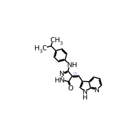 CC(C)c1ccc(NC2=NNC(=O)/C2=C\c2c[nH]c3ncccc23)cc1